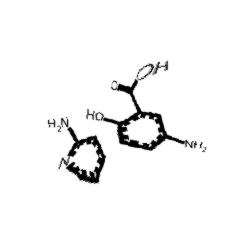 Nc1ccc(O)c(C(=O)O)c1.Nc1ccccn1